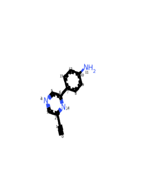 C#Cc1cncc(-c2ccc(N)cc2)n1